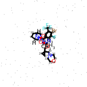 CC(C)(C)OC(=O)N1[C@@H]2CC[C@H]1CN(c1nc(OCC3(CN4CCOCC4)CC3)nc3c(F)c(Br)c(C(F)(F)F)cc13)C2